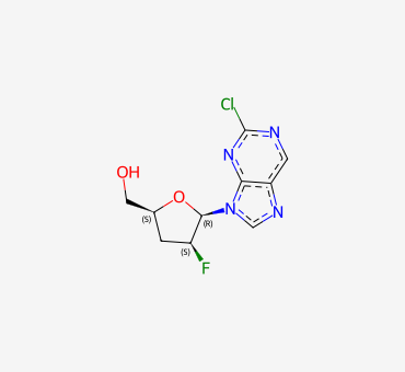 OC[C@@H]1C[C@H](F)[C@H](n2cnc3cnc(Cl)nc32)O1